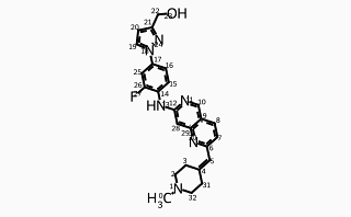 CN1CCC(=Cc2ccc3cnc(Nc4ccc(-n5ccc(CO)n5)cc4F)cc3n2)CC1